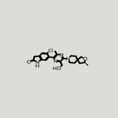 Cc1nc(N2CCC3(CC2)CO[C@@H](C)C3)c(CO)nc1-c1cc2c(cc1Cl)CC(=O)N2